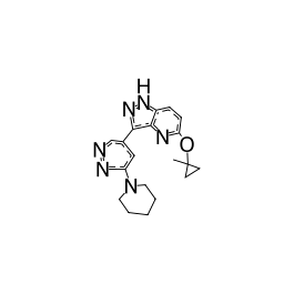 CC1(Oc2ccc3[nH]nc(-c4cnnc(N5CCCCC5)c4)c3n2)CC1